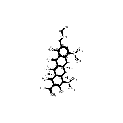 C=C(N)C1=C(O)C(N(C)C)[C@@H]2C[C@@H]3Cc4c(N(C)C)cc(CNCC(C)(C)C)c(C)c4C(=C)C3=C(C)[C@]2(O)C1=C